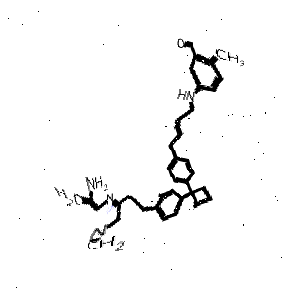 C=NC/C(CCc1ccc(C2(c3ccc(CCCCNc4ccc(C)c(C=O)c4)cc3)CCC2)cc1)=N\CC(=C)N